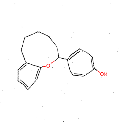 Oc1ccc(C2CCCCCc3ccccc3O2)cc1